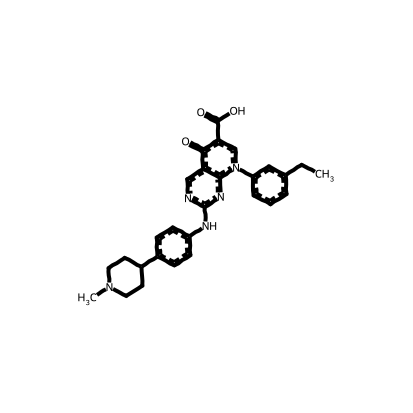 CCc1cccc(-n2cc(C(=O)O)c(=O)c3cnc(Nc4ccc(C5CCN(C)CC5)cc4)nc32)c1